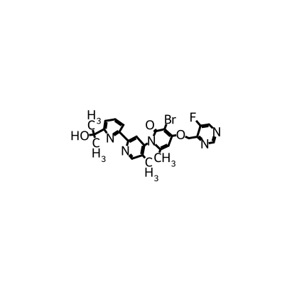 Cc1cnc(-c2cccc(C(C)(C)O)n2)cc1-n1c(C)cc(OCc2ncncc2F)c(Br)c1=O